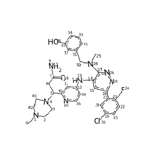 CN1CCN(C(CC(N)=O)c2cc(Nc3cc(-c4cc(Cl)ccc4F)nnc3N(C)Cc3cccc(O)c3)ccn2)CC1